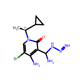 C[C@@H](C1CC1)n1cc(Br)c(N)c(C(N)NN=N)c1=O